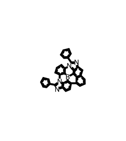 c1ccc(-c2nc3ccc4c5c3n2-c2cccc3c2B5c2c5c-4cccc5cc4nc(-c5ccccc5)n-3c24)cc1